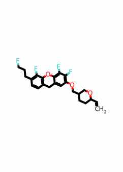 C=CC1CCC(COc2cc3c(c(F)c2F)Oc2c(ccc(CCCF)c2F)C3)CO1